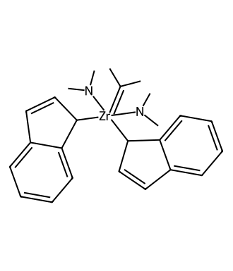 C[C](C)=[Zr]([CH]1C=Cc2ccccc21)([CH]1C=Cc2ccccc21)([N](C)C)[N](C)C